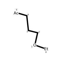 CCOCCCC(C)=O